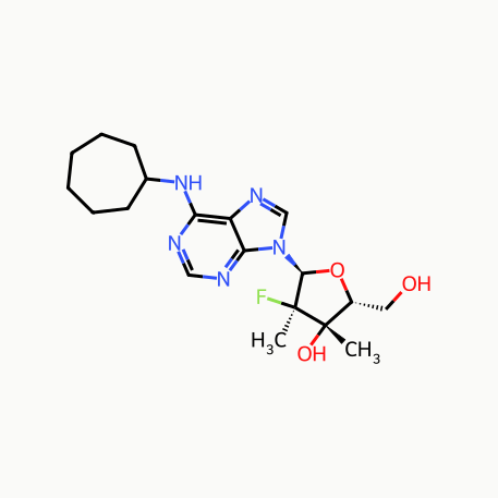 C[C@]1(O)[C@@H](CO)O[C@H](n2cnc3c(NC4CCCCCC4)ncnc32)[C@]1(C)F